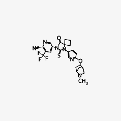 CN1CC2CC1CC2Oc1ccc(N2C(=S)N(c3cnc(C#N)c(C(F)(F)F)c3)C(=O)C23CCC3)cn1